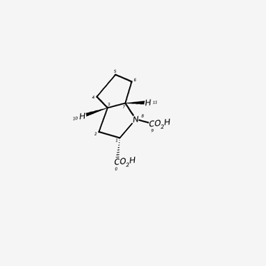 O=C(O)[C@@H]1C[C@@H]2CCC[C@@H]2N1C(=O)O